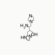 NC(CN1CC[N]CC1)C(CO)Cc1ncc[nH]1